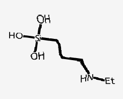 CCNCCC[Si](O)(O)O